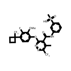 COc1c(Oc2nnc(C(F)(F)F)c(C)c2C(=O)Nc2cccc(S(C)(=N)=O)c2)ccc(C2(C(F)(F)F)CCC2)c1F